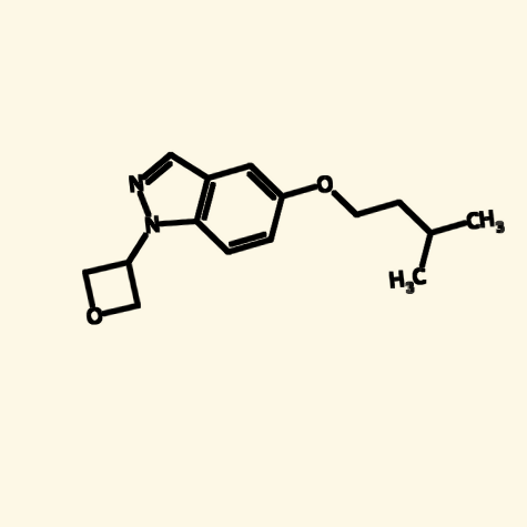 CC(C)CCOc1ccc2c(cnn2C2COC2)c1